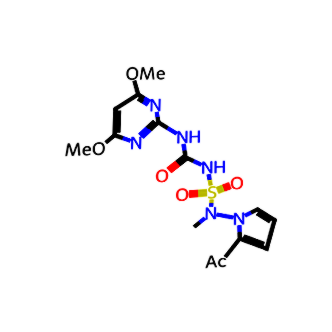 COc1cc(OC)nc(NC(=O)NS(=O)(=O)N(C)n2cccc2C(C)=O)n1